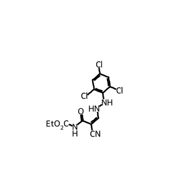 CCOC(=O)NC(=O)C(C#N)=CNNc1c(Cl)cc(Cl)cc1Cl